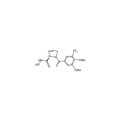 COc1cc(C(=S)N2CC=C[C@@H]2C(=O)NO)cc(C(F)(F)F)c1OC